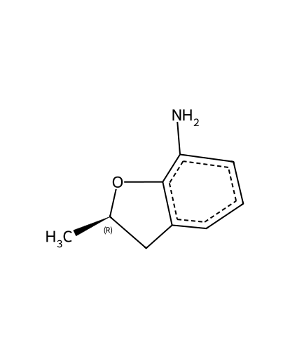 C[C@@H]1Cc2cccc(N)c2O1